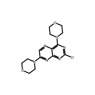 Clc1nc(N2CCOCC2)c2ncc(N3CCOCC3)nc2n1